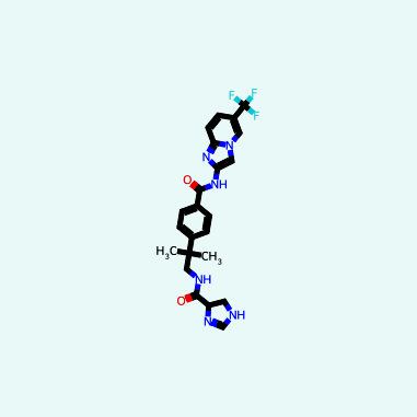 CC(C)(CNC(=O)C1CNC=N1)c1ccc(C(=O)Nc2cn3cc(C(F)(F)F)ccc3n2)cc1